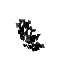 Cn1cc(C(=O)N[C@H]2CC[C@@H](N(C)c3cccc4nc(C(F)(F)F)cn34)CC2)c(N)n1